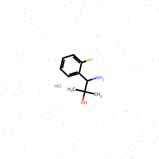 CC(C)(O)C(N)c1ccccc1F.Cl